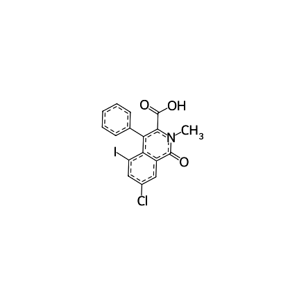 Cn1c(C(=O)O)c(-c2ccccc2)c2c(I)cc(Cl)cc2c1=O